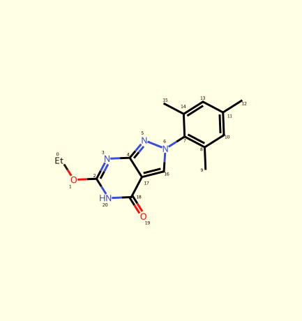 CCOc1nc2nn(-c3c(C)cc(C)cc3C)cc2c(=O)[nH]1